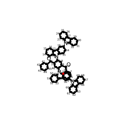 O=C(c1ccccc1)c1cc(-n2c3ccccc3c3cc(-n4c5ccccc5c5ccccc54)ccc32)c(C(=O)c2ccccc2)cc1-n1c2ccccc2c2cc(-n3c4ccccc4c4ccccc43)ccc21